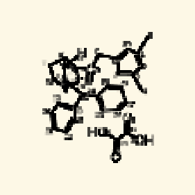 Cc1cc(C)cc(CO[C@H]2C3CCN(CC3)[C@@H]2C(c2ccccc2)c2ccccc2)c1.O=C(O)C(=O)O